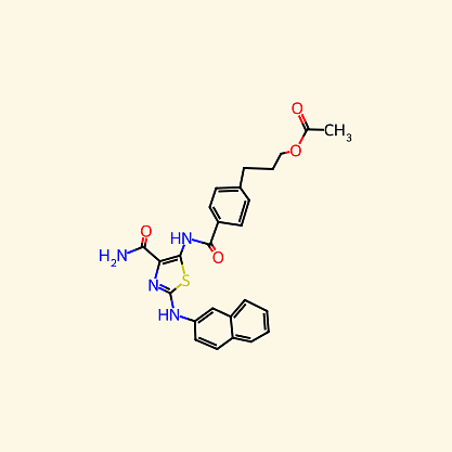 CC(=O)OCCCc1ccc(C(=O)Nc2sc(Nc3ccc4ccccc4c3)nc2C(N)=O)cc1